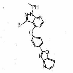 CPn1nc(Br)c2c(Oc3ccc(-c4nc5ncccc5o4)cc3)ccnc21